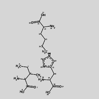 CCC(C)C(N)C(=O)O.CSCCC(N)C(=O)O.NC(Cc1c[nH]cn1)C(=O)O